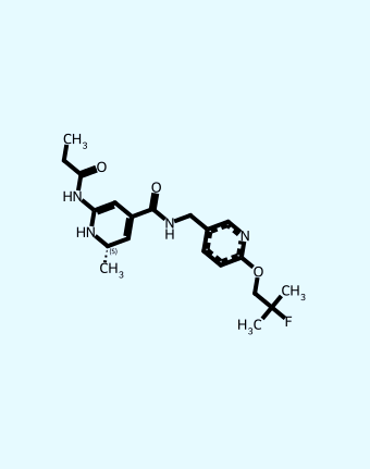 CCC(=O)NC1=CC(C(=O)NCc2ccc(OCC(C)(C)F)nc2)=C[C@H](C)N1